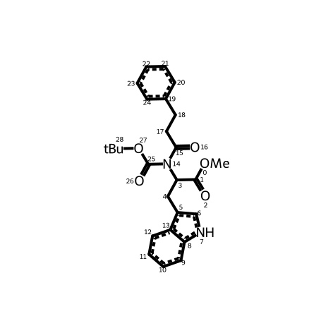 COC(=O)C(Cc1c[nH]c2ccccc12)N(C(=O)CCc1ccccc1)C(=O)OC(C)(C)C